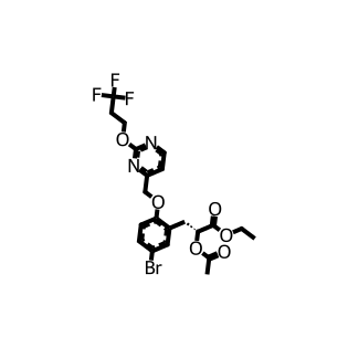 CCOC(=O)[C@@H](Cc1cc(Br)ccc1OCc1ccnc(OCCC(F)(F)F)n1)OC(C)=O